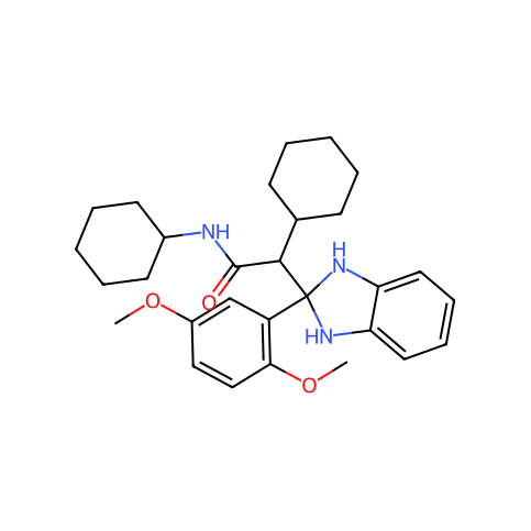 COc1ccc(OC)c(C2(C(C(=O)NC3CCCCC3)C3CCCCC3)Nc3ccccc3N2)c1